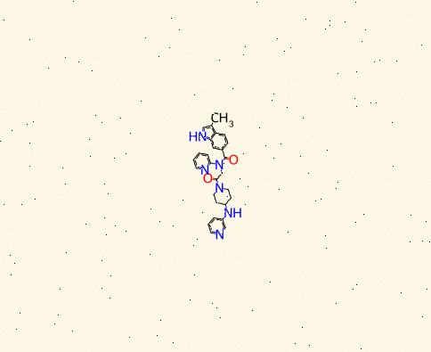 Cc1c[nH]c2cc(C(=O)N(CC(=O)N3CCC(Nc4cccnc4)CC3)c3ccccn3)ccc12